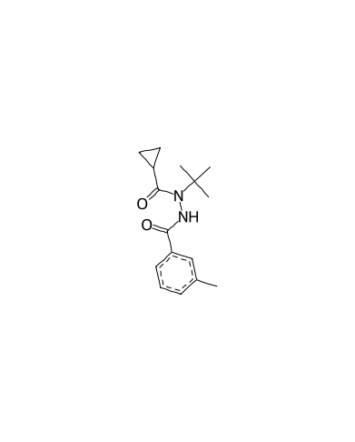 Cc1cccc(C(=O)NN(C(=O)C2CC2)C(C)(C)C)c1